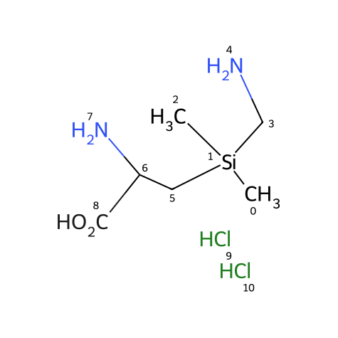 C[Si](C)(CN)CC(N)C(=O)O.Cl.Cl